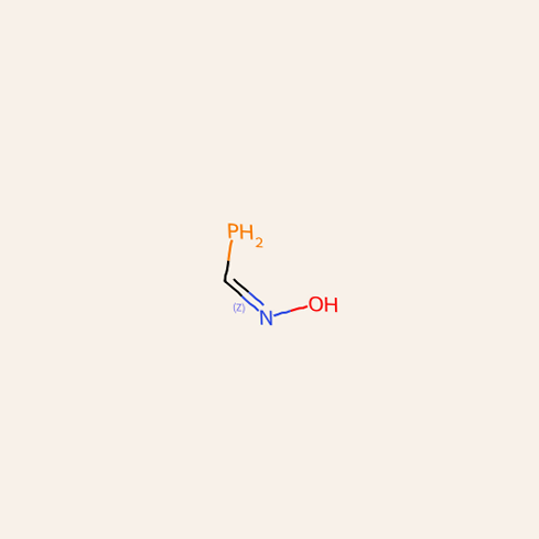 O/N=C\P